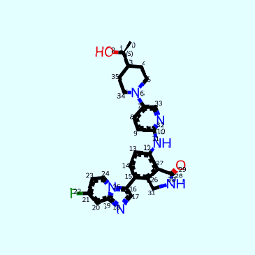 C[C@H](O)C1CCN(c2ccc(Nc3ccc(-c4cnc5cc(F)ccn45)c4c3C(=O)NC4)nc2)CC1